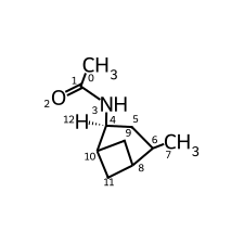 CC(=O)N[C@H]1CC(C)C2CC1C2